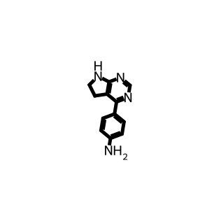 Nc1ccc(-c2ncnc3c2CCN3)cc1